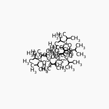 CC(C)[Si](O[Si](S[Si](O[Si](O[Si](C(C)C)(C(C)C)C(C)C)(C(C)C)C(C)C)(C(C)C)C(C)C)(C(C)C)C(C)C)(O[Si](C(C)C)(C(C)C)C(C)C)C(C)C